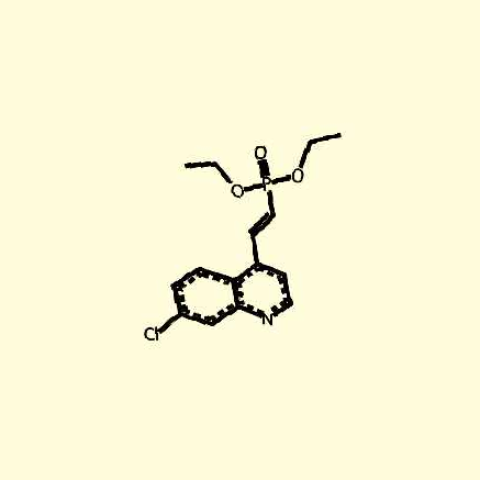 CCOP(=O)(C=Cc1ccnc2cc(Cl)ccc12)OCC